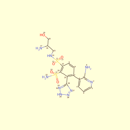 Nc1ncccc1-c1ccc(S(=O)(=O)NCC(N)CO)c(S(N)(=O)=O)c1-c1nn[nH]n1